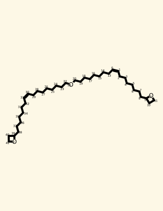 C(=C/CCCCCCCC1CCO1)/CCCCCCCCOCCCCCCCC/C=C\CCCCCCCC1CCO1